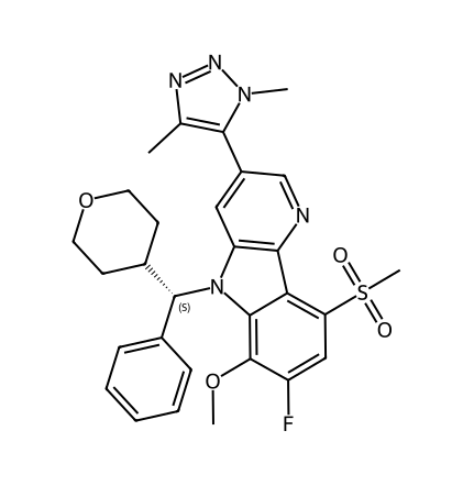 COc1c(F)cc(S(C)(=O)=O)c2c3ncc(-c4c(C)nnn4C)cc3n([C@H](c3ccccc3)C3CCOCC3)c12